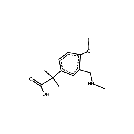 CNCc1cc(C(C)(C)C(=O)O)ccc1OC